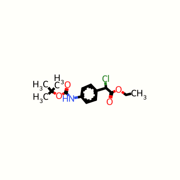 CCOC(=O)C(Cl)c1ccc(NC(=O)OC(C)(C)C)cc1